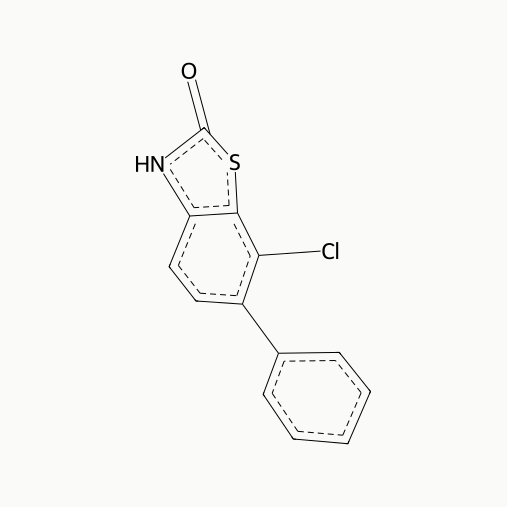 O=c1[nH]c2ccc(-c3ccccc3)c(Cl)c2s1